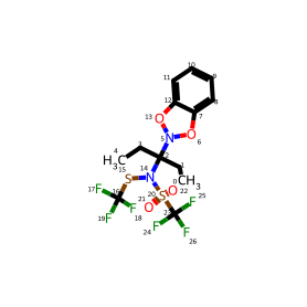 CCC(CC)(N1Oc2ccccc2O1)N(SC(F)(F)F)S(=O)(=O)C(F)(F)F